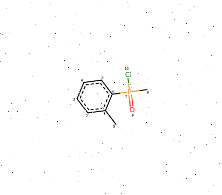 Cc1ccccc1P(C)(=O)Cl